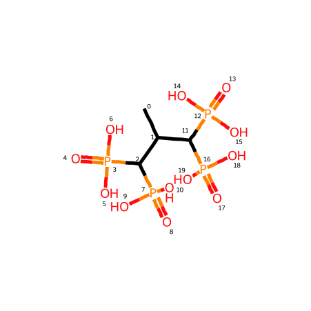 CC(C(P(=O)(O)O)P(=O)(O)O)C(P(=O)(O)O)P(=O)(O)O